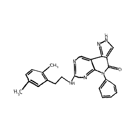 Cc1ccc(C)c(CCNc2ncc3c4n[nH]cc4c(=O)n(-c4ccccc4)c3n2)c1